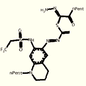 C=C(N=Nc1cc2c(cc1NS(=O)(=O)CC(F)(F)F)N(CCCCC)CCC2)S/C(=N\N)C(=O)CCCCC